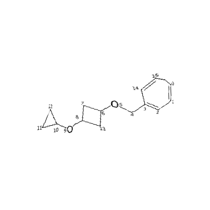 c1ccc(COC2CC(OC3CC3)C2)cc1